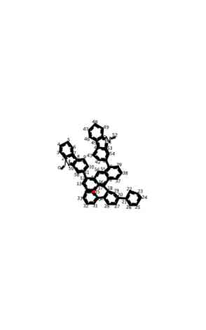 Cn1c2ccccc2c2ccc(-c3cccc4c(-c5cc(-c6ccccc6)ccc5-c5ccccc5)c5cccc(-c6ccc7c8ccccc8n(C)c7c6)c5cc34)cc21